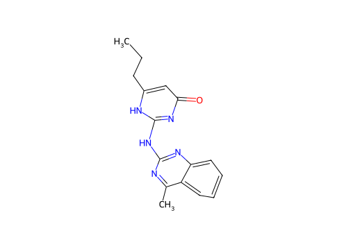 CCCc1cc(=O)nc(Nc2nc(C)c3ccccc3n2)[nH]1